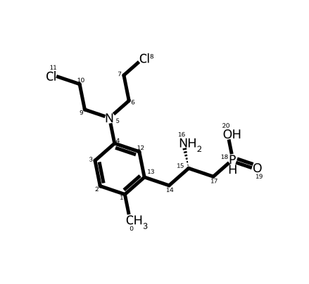 Cc1ccc(N(CCCl)CCCl)cc1C[C@H](N)C[PH](=O)O